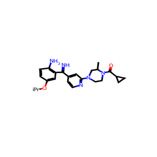 CC(C)Oc1ccc(N)c(C(=N)c2ccnc(N3CCN(C(=O)C4CC4)C(C)C3)c2)c1